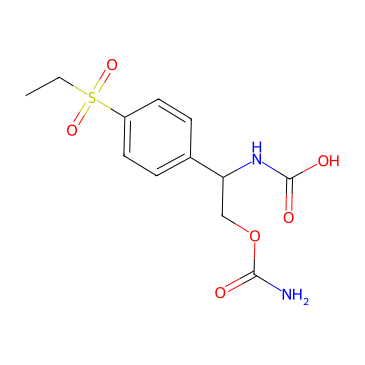 CCS(=O)(=O)c1ccc(C(COC(N)=O)NC(=O)O)cc1